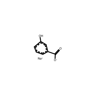 O=C([O-])c1cccc(O)c1.[Na+]